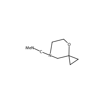 CNCN1CCOC2(CC2)C1